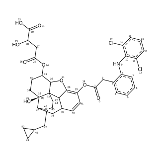 O=C(Cc1ccccc1Nc1c(Cl)cccc1Cl)OC1=C2OC3C(OC(=O)CC(O)C(=O)O)CC[C@@]4(O)C5CC(C=C1)C2C34CCN5CC1CC1